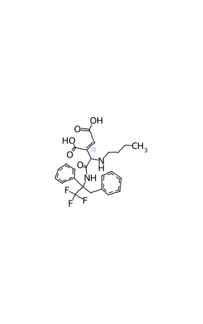 CCCCNC(C(=O)NC(Cc1ccccc1)(c1ccccc1)C(F)(F)F)/C(=C/C(=O)O)C(=O)O